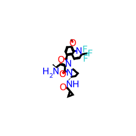 COc1ccc(-c2nc(C(=O)N3CCC[C@@H]3CNC(=O)C3CC3)c([C@H](C)N)o2)c2ccc(C(F)(F)F)nc12